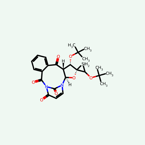 CC(C)(C)OC1[SiH2][C@@]12O[C@@H]1[C@H](C(=O)c3ccccc3C(=O)n3c(=O)ccn1c3=O)[C@@H]2OC(C)(C)C